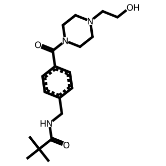 CC(C)(C)C(=O)NCc1ccc(C(=O)N2CCN(CCO)CC2)cc1